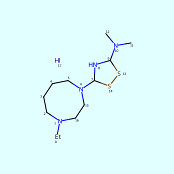 CCN1CCCCN(C2NC(N(C)C)SS2)CC1.I